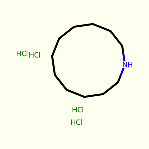 C1CCCCCNCCCCC1.Cl.Cl.Cl.Cl